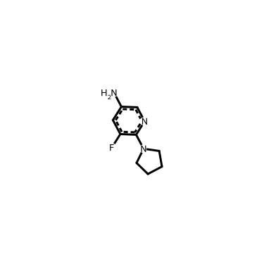 Nc1cnc(N2CCCC2)c(F)c1